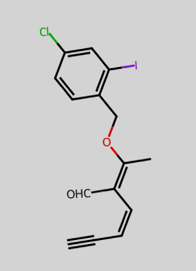 C#C/C=C\C(C=O)=C(/C)OCc1ccc(Cl)cc1I